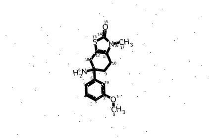 COc1cccc(C2(N)CCc3c(sc(=O)n3C)C2)c1